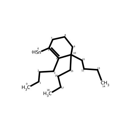 CCCCC1=[C]([SnH])CCCC1(CCCC)CCCC